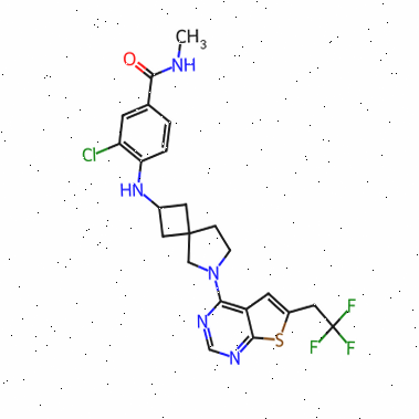 CNC(=O)c1ccc(NC2CC3(CCN(c4ncnc5sc(CC(F)(F)F)cc45)C3)C2)c(Cl)c1